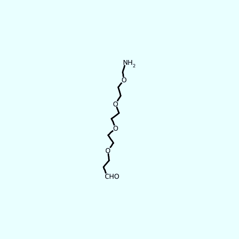 NCOCCOCCOCCOCCC=O